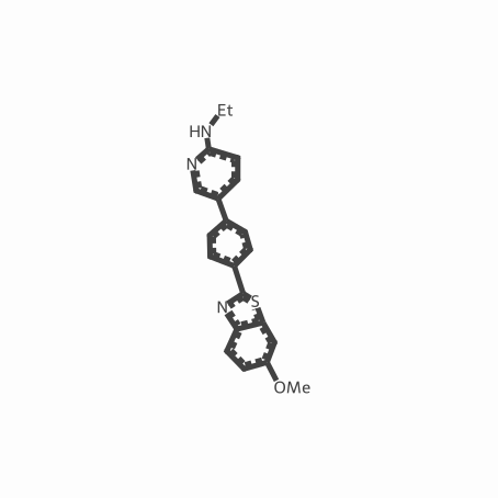 CCNc1ccc(-c2ccc(-c3nc4ccc(OC)cc4s3)cc2)cn1